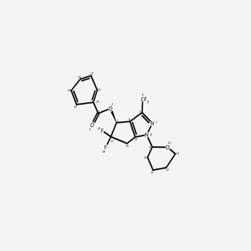 O=C(O[C@H]1c2c(C(F)(F)F)nn(C3CCCCO3)c2CC1(F)F)c1ccccc1